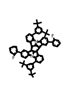 CC(C)(C)c1cc(-c2cccc3c4c5c6cc(-c7ccccc7F)ccc6n6c7c(-c8cc(C(C)(C)C)cc(C(C)(C)C)c8)cccc7c(c7c8cc(-c9ccccc9F)ccc8n(c23)c74)c56)cc(C(C)(C)C)c1